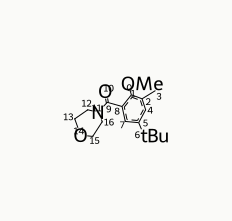 COc1c(C)cc(C(C)(C)C)cc1C(=O)N1CCOCC1